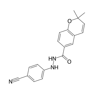 CC1(C)C=Cc2cc(C(=O)NNc3ccc(C#N)cc3)ccc2O1